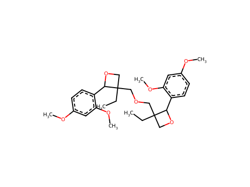 CCC1(COCC2(CC)COC2c2ccc(OC)cc2OC)COC1c1ccc(OC)cc1OC